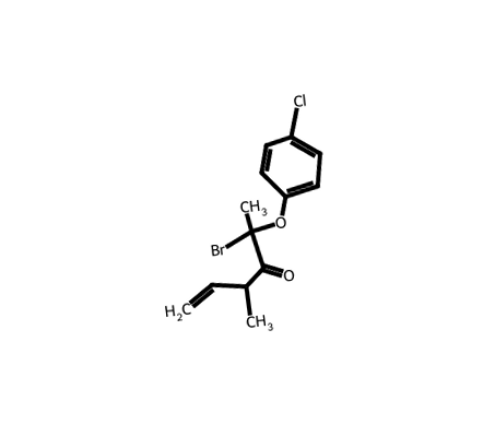 C=CC(C)C(=O)C(C)(Br)Oc1ccc(Cl)cc1